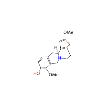 COc1cc2c(s1)CCN1Cc3c(ccc(O)c3OC)C[C@@H]21